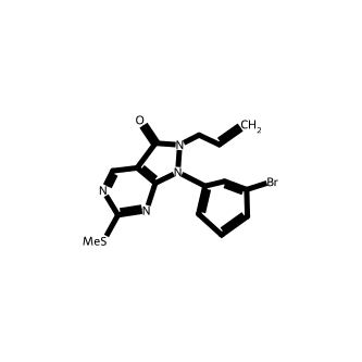 C=CCn1c(=O)c2cnc(SC)nc2n1-c1cccc(Br)c1